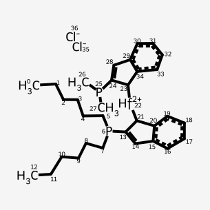 CCCCCCP(CCCCCC)C1=Cc2ccccc2[CH]1[Hf+2][CH]1C(P(C)C)=Cc2ccccc21.[Cl-].[Cl-]